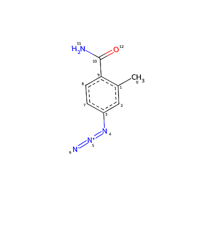 Cc1cc(N=[N+]=[N-])ccc1C(N)=O